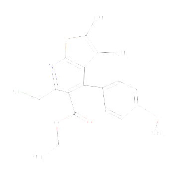 CCOC(=O)c1c(CCl)nc2sc(C)c(C)c2c1-c1ccc(OC)cc1